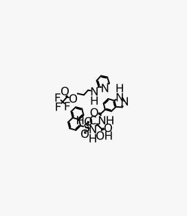 CC(NC(=O)c1ccc2[nH]ncc2c1)(NS(=O)(=O)c1cccc2ccccc12)C(=O)O.O=C(OCCCNc1ccccn1)C(F)(F)F